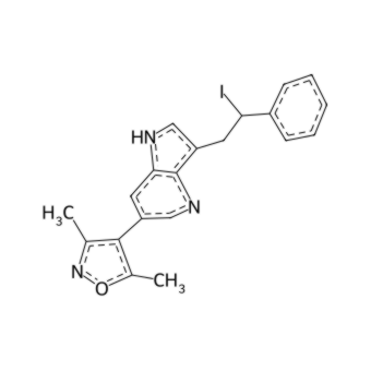 Cc1noc(C)c1-c1cnc2c(CC(I)c3ccccc3)c[nH]c2c1